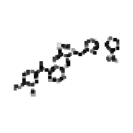 COc1cc2c(Nc3ccc(Cl)c(Cl)c3)ncnc2cc1OCc1csc(C2CCCN2C)n1